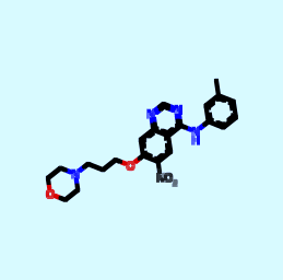 Cc1cccc(Nc2ncnc3cc(OCCCN4CCOCC4)c([N+](=O)[O-])cc23)c1